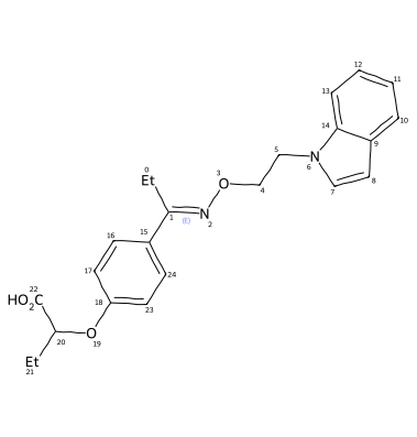 CC/C(=N\OCCn1ccc2ccccc21)c1ccc(OC(CC)C(=O)O)cc1